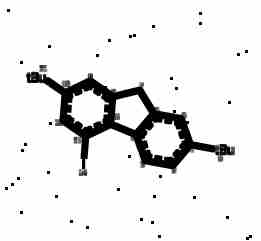 CC(C)(C)c1ccc2c(c1)Cc1cc(C(C)(C)C)cc(I)c1-2